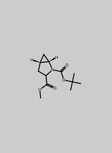 COC(=O)C1C[C@@H]2C[C@@H]2N1C(=O)OC(C)(C)C